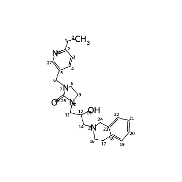 CCc1ccc(CN2CCN(CC(O)CN3CCc4ccccc4C3)C2=O)cn1